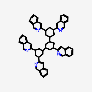 c1ccc2cc(C3CC(c4cc5ccccc5cn4)CC(C4CC(c5cc6ccccc6cn5)CC(C5CC(c6cc7ccccc7cn6)CC(c6cc7ccccc7cn6)C5)C4)C3)ncc2c1